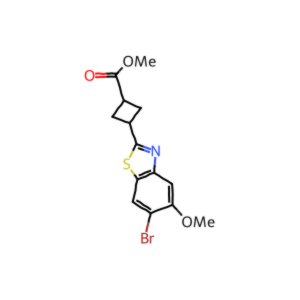 COC(=O)C1CC(c2nc3cc(OC)c(Br)cc3s2)C1